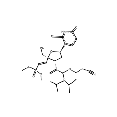 C=C([C@H]1C[C@H](n2ccc(=O)[nH]c2=O)O[C@@]1(/C=C/P(=O)(OC)OC)CO)P(OCCC#N)N(C(C)C)C(C)C